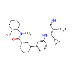 CCCC1CCCCC1N(C)C(=O)C1CCCC(c2cccc(N/C(=C(\C=N)C(=O)O)C3CC3)c2)C1